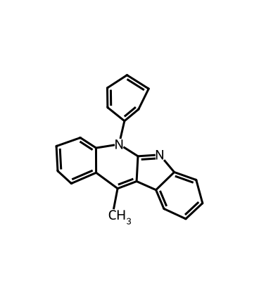 Cc1c2c3ccccc3nc-2n(-c2ccccc2)c2ccccc12